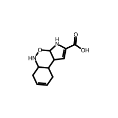 O=C(O)C1=CC2C(N1)ONC1CC=CCC12